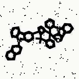 CC1(C)c2ccccc2C2(c3ccccc3-n3c4ccccc4c4cccc2c43)c2cccc(-c3ccc4c(c3)c3ccccc3n4-c3ccc4ccccc4c3)c21